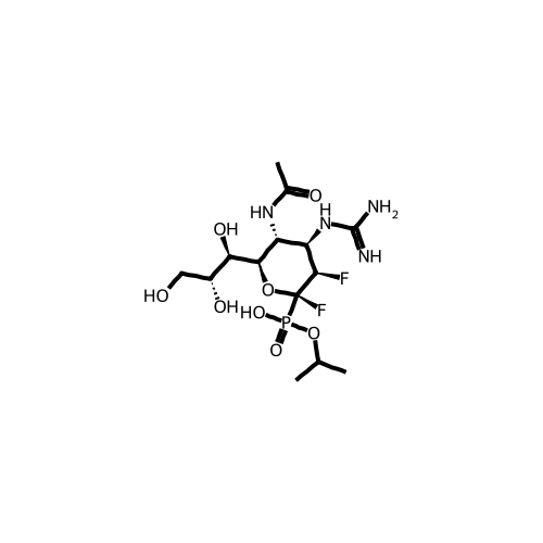 CC(=O)N[C@@H]1[C@@H](NC(=N)N)[C@@H](F)[C@](F)(P(=O)(O)OC(C)C)O[C@H]1[C@H](O)[C@H](O)CO